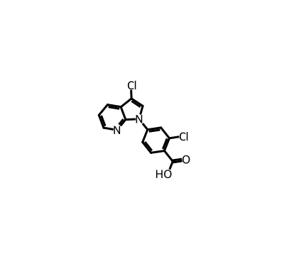 O=C(O)c1ccc(-n2cc(Cl)c3cccnc32)cc1Cl